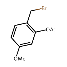 COc1ccc(CBr)c(OC(C)=O)c1